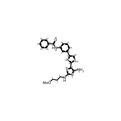 COCCCNc1nc(N)c(-c2nc(-c3cccc(NC(=O)c4ccccc4)c3)cs2)s1